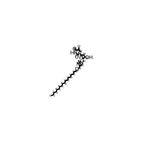 CCCCCCCCCCCCCCCCCCOCc1cn(C[C@H]2O[C@@H](n3cc(C)c(=O)[nH]c3=O)C[C@H]2O)nn1